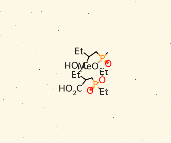 CCC(CP(C)(=O)OC)C(=O)O.CCOP(=O)(CC)CC(CC)C(=O)O